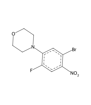 O=[N+]([O-])c1cc(F)c(N2CCOCC2)cc1Br